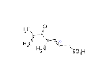 C=C(C)C(=O)N(N)/C=C/CS(=O)(=O)O